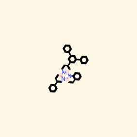 C1=CC(c2ccccc2)=CN2B1N1C=CC(c3cc(-c4ccccc4)cc(-c4ccccc4)c3)=CB1N1B2C=Cc2ccccc21